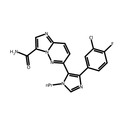 CCCn1cnc(-c2ccc(F)c(Cl)c2)c1-c1ccc2ncc(C(N)=O)n2n1